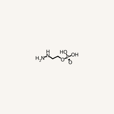 NNCCOP(=O)(O)O